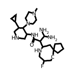 CN1CCN(C2C(NC(=O)C(C(N)N)C3CC4(CCCC4)CCC(F)CN3)CNCC2C2CC2)CC1